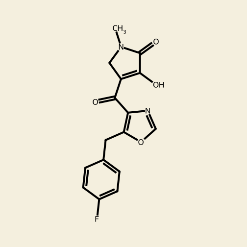 CN1CC(C(=O)c2ncoc2Cc2ccc(F)cc2)=C(O)C1=O